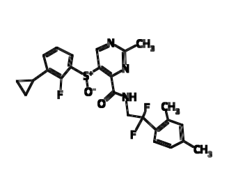 Cc1ccc(C(F)(F)CNC(=O)c2nc(C)ncc2[S+]([O-])c2cccc(C3CC3)c2F)c(C)c1